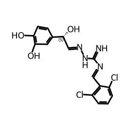 N=C(N=Cc1c(Cl)cccc1Cl)NN=C[C@@H](O)c1ccc(O)c(O)c1